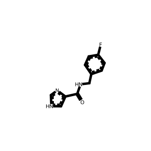 O=C(NCc1ccc(F)cc1)c1c[nH]cn1